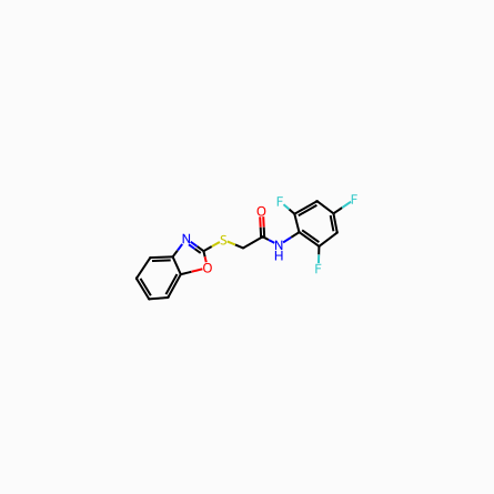 O=C(CSc1nc2ccccc2o1)Nc1c(F)cc(F)cc1F